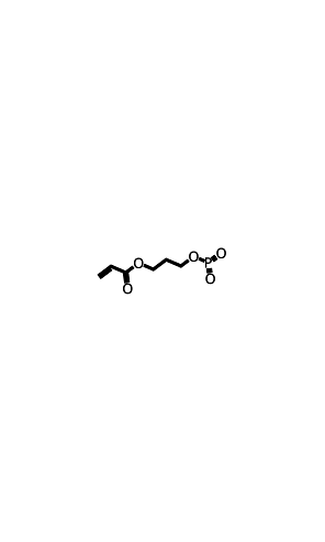 C=CC(=O)OCCCOP(=O)=O